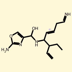 C=CC(CC)C(/C=C/CC=N)NC(O)c1coc(N)n1